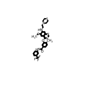 COc1cc2c(Oc3cc(C(=O)Nc4cccc(C(F)(F)F)c4)ccc3C)ncnc2cc1NCCN1CCSCC1